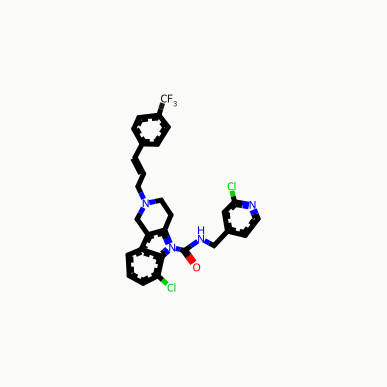 O=C(NCc1ccnc(Cl)c1)n1c2c(c3cccc(Cl)c31)CN(C/C=C/c1ccc(C(F)(F)F)cc1)CC2